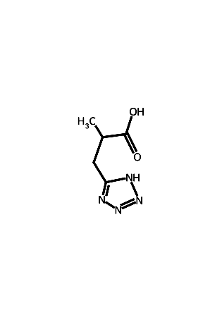 CC(Cc1nnn[nH]1)C(=O)O